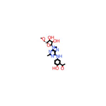 COC[C@H]1O[C@@H](n2cnc3c(Nc4ccc(O)c(C(C)=O)c4)nc(C)nc32)C(O)C1O